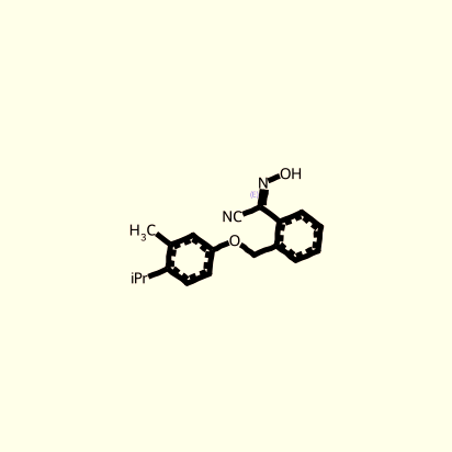 Cc1cc(OCc2ccccc2/C(C#N)=N\O)ccc1C(C)C